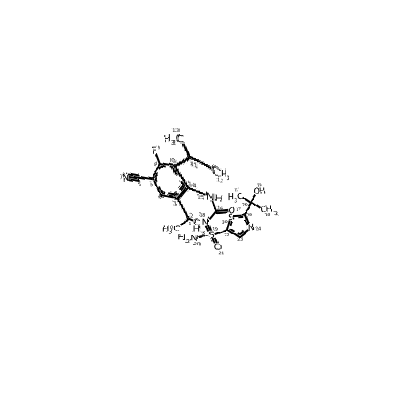 CC(C)c1cc(C#N)c(F)c(C(C)C)c1NC(=O)N=[S@@](N)(=O)c1cnc(C(C)(C)O)s1